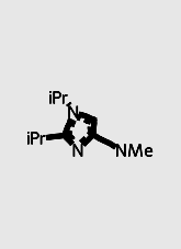 CNc1cn(C(C)C)c(C(C)C)n1